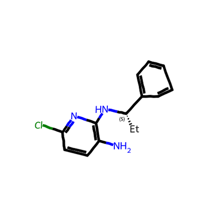 CC[C@H](Nc1nc(Cl)ccc1N)c1ccccc1